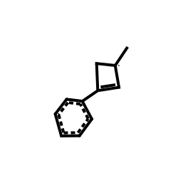 C[C]1C=C(c2ccccc2)C1